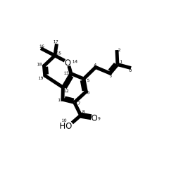 CC(C)=CCc1cc(C(=O)O)cc2c1OC(C)(C)C=C2